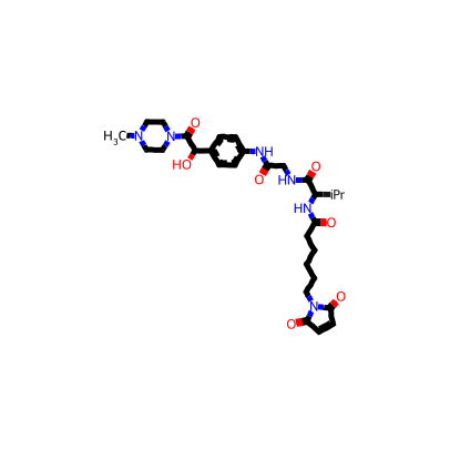 CC(C)C(NC(=O)CCCCCN1C(=O)C=CC1=O)C(=O)NCC(=O)Nc1ccc(C(O)C(=O)N2CCN(C)CC2)cc1